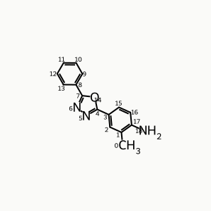 Cc1cc(-c2nnc(-c3ccccc3)o2)ccc1N